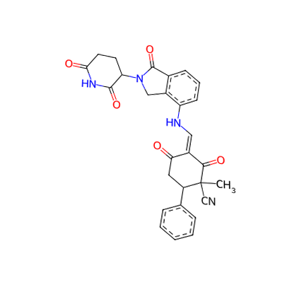 CC1(C#N)C(=O)/C(=C/Nc2cccc3c2CN(C2CCC(=O)NC2=O)C3=O)C(=O)CC1c1ccccc1